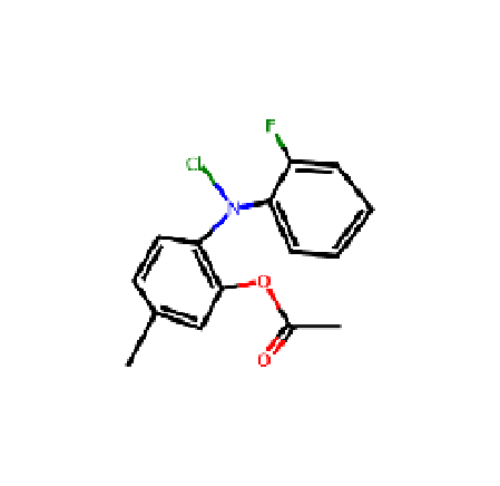 CC(=O)Oc1cc(C)ccc1N(Cl)c1ccccc1F